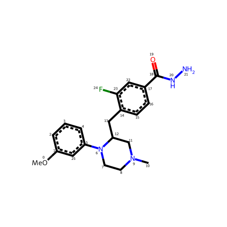 COc1cccc(N2CCN(C)CC2Cc2ccc(C(=O)NN)cc2F)c1